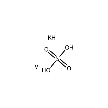 O=S(=O)(O)O.[KH].[V]